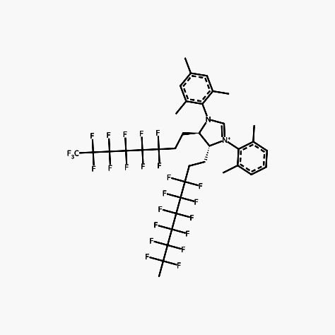 Cc1cc(C)c(N2C=[N+](c3c(C)cccc3C)[C@H](CCC(F)(F)C(F)(F)C(F)(F)C(F)(F)C(F)(F)C(C)(F)F)[C@H]2CCC(F)(F)C(F)(F)C(F)(F)C(F)(F)C(F)(F)C(F)(F)F)c(C)c1